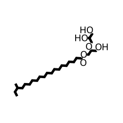 CCC(C)CCCCCCCCCCCCCCCCC(=O)OCC(CO)OCC(O)CO